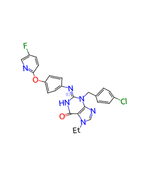 CCn1cnc2c1c(=O)[nH]/c(=N\c1ccc(Oc3ccc(F)cn3)cc1)n2Cc1ccc(Cl)cc1